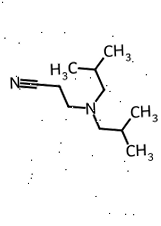 CC(C)CN(CCC#N)CC(C)C